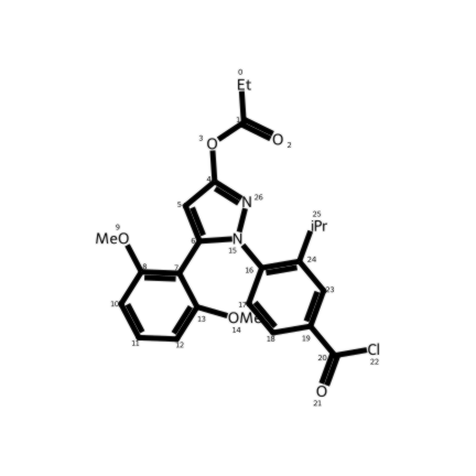 CCC(=O)Oc1cc(-c2c(OC)cccc2OC)n(-c2ccc(C(=O)Cl)cc2C(C)C)n1